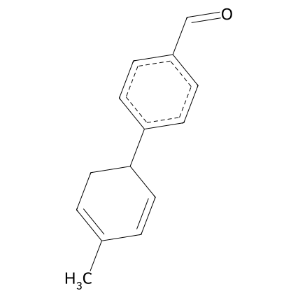 CC1=CCC(c2ccc(C=O)cc2)C=C1